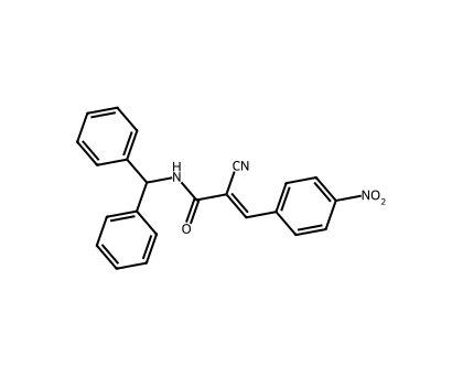 N#C/C(=C\c1ccc([N+](=O)[O-])cc1)C(=O)NC(c1ccccc1)c1ccccc1